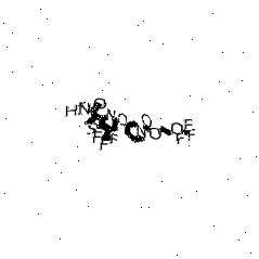 CNC(=O)c1csc2c(C(F)(F)F)cc(OC3CCCN(C(=O)OCCOC(F)(F)F)C3)nc12